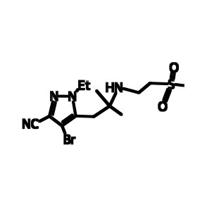 CCn1nc(C#N)c(Br)c1CC(C)(C)NCCS(C)(=O)=O